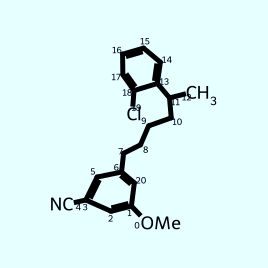 COc1cc(C#N)cc(CCCCC(C)c2ccccc2Cl)c1